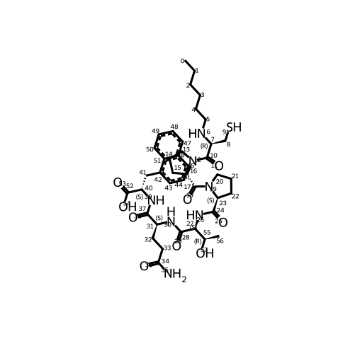 CCCCCCN[C@@H](CS)C(=O)N1CCC[C@H]1C(=O)N1CCC[C@H]1C(=O)N[C@H](C(=O)N[C@@H](CCC(N)=O)C(=O)N[C@@H](Cc1cccc2ccccc12)C(=O)O)[C@@H](C)O